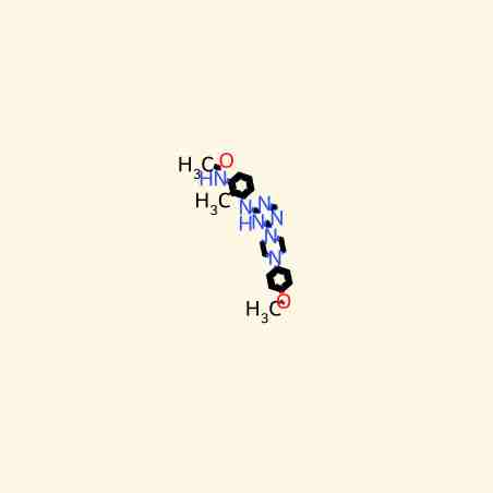 COc1ccc(N2CCN(c3ncnc(Nc4cccc(NC(C)=O)c4C)n3)CC2)cc1